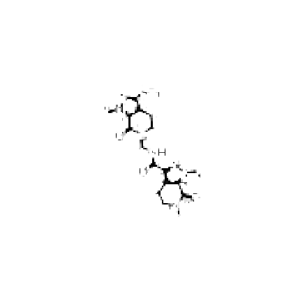 CN1CCc2c(C(=O)NCN3CCc4c(C(F)(F)F)nn(C)c4C3=O)nn(C)c2C1=O